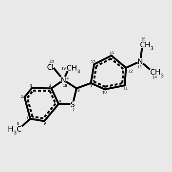 Cc1ccc2c(c1)SC(c1ccc(N(C)C)cc1)[N+]2(C)Cl